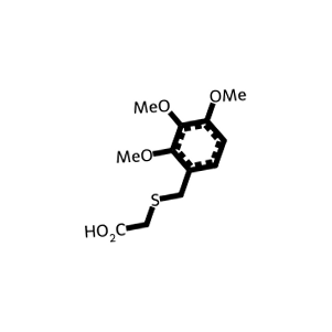 COc1ccc(CSCC(=O)O)c(OC)c1OC